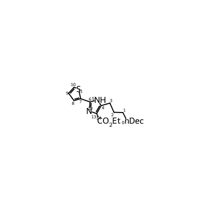 CCCCCCCCCCCCCc1[nH]c(-c2cccs2)nc1C(=O)OCC